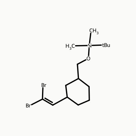 CC(C)(C)[Si](C)(C)OCC1CCCC(C=C(Br)Br)C1